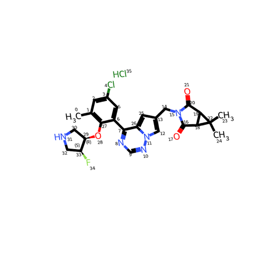 Cc1cc(Cl)cc(-c2ncnn3cc(CN4C(=O)C5C(C4=O)C5(C)C)cc23)c1O[C@@H]1CNC[C@@H]1F.Cl